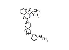 COc1cccc(C2=NOC3(CCN(C(=O)/C=C(\c4ccccc4)C(C)(C)C)CC3)C2)c1